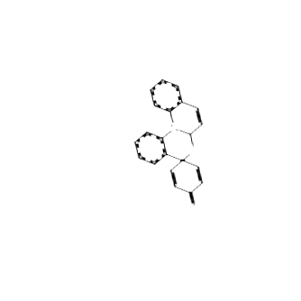 O=C1C=CC2(C=C1)OC1C=Cc3ccccc3N1c1ccccc12